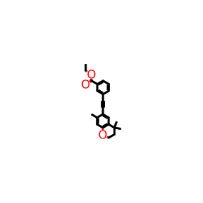 CCOC(=O)c1cccc(C#Cc2cc3c(cc2C)OCCC3(C)C)c1